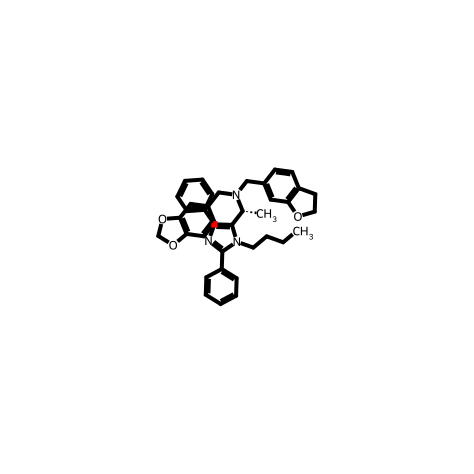 CCCCn1c(-c2ccccc2)nc(-c2ccccc2)c1[C@@H](C)N(Cc1ccc2c(c1)OCC2)Cc1ccc2c(c1)OCO2